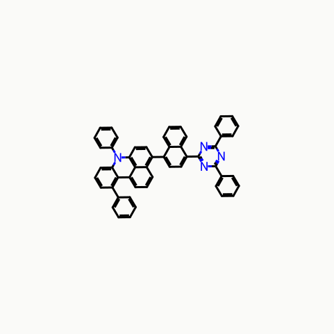 c1ccc(-c2nc(-c3ccccc3)nc(-c3ccc(-c4ccc5c6c(cccc46)-c4c(-c6ccccc6)cccc4N5c4ccccc4)c4ccccc34)n2)cc1